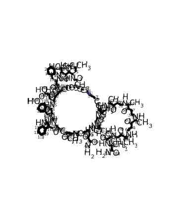 CC(=O)N[C@@H](CC(C)C)C(=O)C(=O)[C@@H](NN[C@@H](Cc1ccccc1)C(=O)N[C@]1(C)CCCCCC/C=C/CCC[C@@](C)(C(=O)CN[C@@H](C)C(=O)CCN[C@@H](C)C(=O)CCN[C@@H](C)C(=O)CCN[C@@H](C)C(=O)CNC(C)(C)C(=O)N[C@H](C)C(N)=O)NC(=O)[C@H](CC(C)C)NN[C@@H](CCC(N)=O)C(=O)CN[C@@H](C)C(=O)CC(=O)[C@H](Cc2c[nH]c3ccccc23)NN[C@@H](Cc2ccc(O)cc2)C(=O)N[C@@H](CCC(=O)O)C(=O)C1=O)[C@@H](C)O